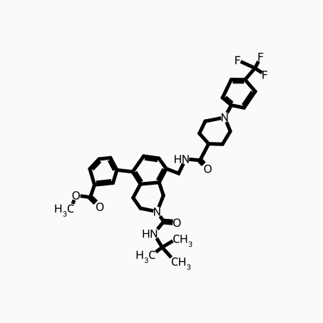 COC(=O)c1cccc(-c2ccc(CNC(=O)C3CCN(c4ccc(C(F)(F)F)cc4)CC3)c3c2CCN(C(=O)NC(C)(C)C)C3)c1